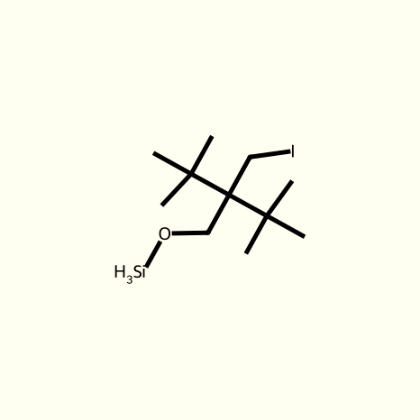 CC(C)(C)C(CI)(CO[SiH3])C(C)(C)C